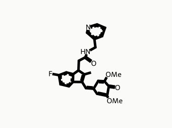 COC1=CC(=CC2=C(C)C(CC(=O)NCc3cccnc3)c3cc(F)ccc32)C=C(OC)C1=O